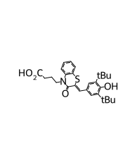 CC(C)(C)c1cc(/C=C2\Sc3ccccc3N(CCCC(=O)O)C2=O)cc(C(C)(C)C)c1O